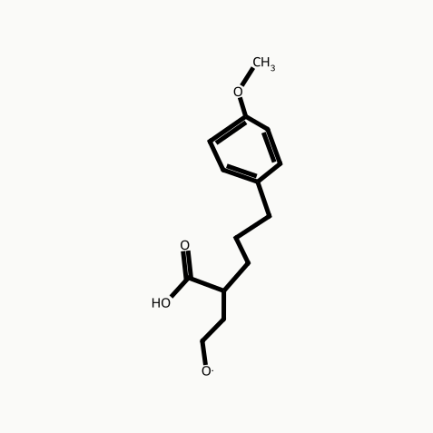 COc1ccc(CCCC(CC[O])C(=O)O)cc1